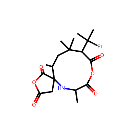 CCC(C)(C)C1C(=O)OC(=O)C(C)NC2(CC(=O)OC2=O)C(C)CC1(C)C